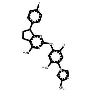 CNc1nc(Nc2cc(OC)c(-n3cnc(C)c3)cc2F)nc2c1CCC2c1ccc(F)cc1